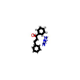 O=C(/C=C/c1ccccc1)c1ccccc1.[N-]=[N+]=[N-]